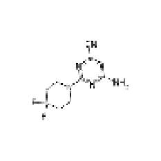 N#Cc1cc(N)nc(N2CCC(F)(F)CC2)n1